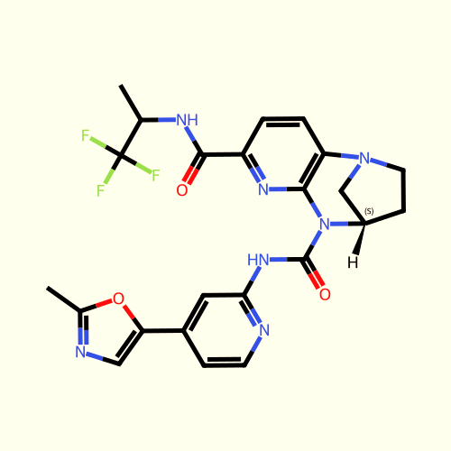 Cc1ncc(-c2ccnc(NC(=O)N3c4nc(C(=O)NC(C)C(F)(F)F)ccc4N4CC[C@H]3C4)c2)o1